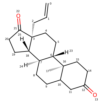 C=CC[C@]12CC[C@H]3[C@@H](CCC4CC(=O)CC[C@@]43C)[C@@H]1CCC2=O